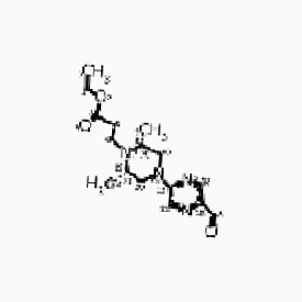 CCOC(=O)CCN1[C@H](C)CN(c2cnc(C=O)cn2)C[C@@H]1C